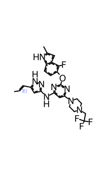 C/C=C/c1cc(Nc2cc(N3CCN(CC(F)(F)F)CC3)nc(Oc3ccc4[nH]c(C)cc4c3F)n2)n[nH]1